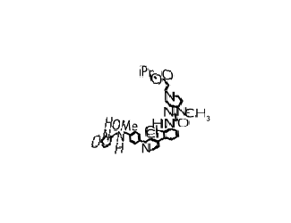 COc1cc(-c2nccc(-c3cccc(NC(=O)c4nc5c(n4C)CCN(CCC(=O)OC(C)C)C5)c3Cl)c2Cl)ccc1CNCC1CCC(=O)N1